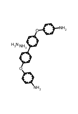 N.N.Nc1ccc(Oc2ccc(-c3ccc(Oc4ccc(N)cc4)cc3)cc2)cc1